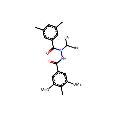 CCCC(N(NC(=O)c1cc(OC)c(C)c(OC)c1)C(=O)c1cc(C)cc(C)c1)C(C)(C)C